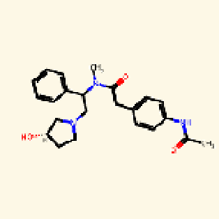 CC(=O)Nc1ccc(CC(=O)N(C)C(CN2CC[C@H](O)C2)c2ccccc2)cc1